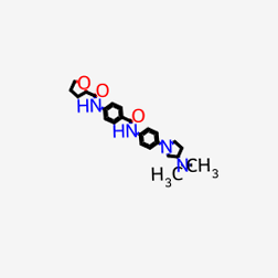 CN(C)C1CCN(c2ccc(NC(=O)c3ccc(NC(=O)C4CCCO4)cc3)cc2)C1